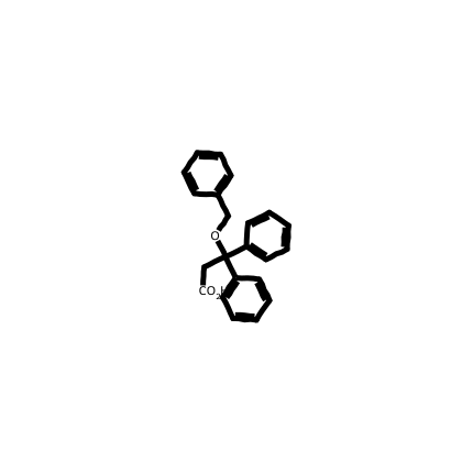 O=C(O)CC(OCc1ccccc1)(c1ccccc1)c1ccccc1